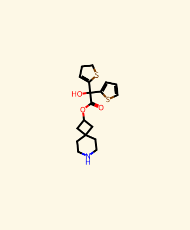 O=C(OC1CC2(CCNCC2)C1)C(O)(C1=CCCS1)c1cccs1